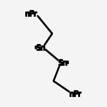 CCC[CH2][Sn][Sn][CH2]CCC